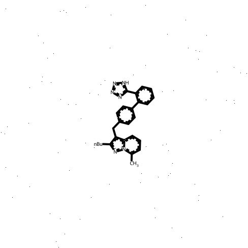 CCCCc1nn2c(C)cccc2c1Cc1ccc(-c2ccccc2-c2nnn[nH]2)cc1